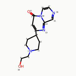 O=c1cc(C2CCN(CCO)CC2)nc2cnccn12